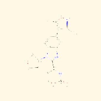 Cc1noc(C)c1-c1ccc2c(c1)nc([C@@H]1CCOC(=O)N1)n2[C@H]1CCOC1